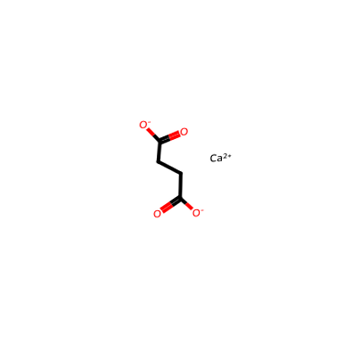 O=C([O-])CCC(=O)[O-].[Ca+2]